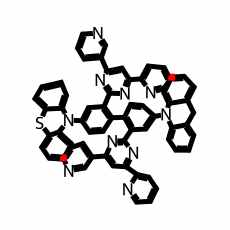 c1ccc(-c2cc(-c3cccnc3)nc(-c3cc(N4c5ccccc5Cc5ccccc54)ccc3-c3ccc(N4c5ccccc5Sc5ccccc54)cc3-c3nc(-c4cccnc4)cc(-c4ccccn4)n3)n2)nc1